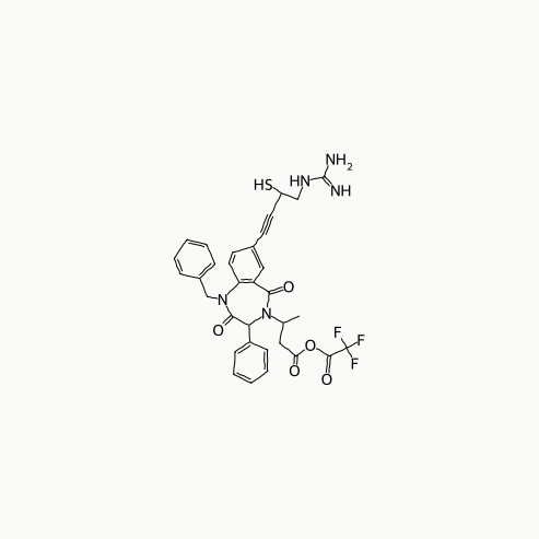 CC(CC(=O)OC(=O)C(F)(F)F)N1C(=O)c2cc(C#CC(S)CNC(=N)N)ccc2N(Cc2ccccc2)C(=O)C1c1ccccc1